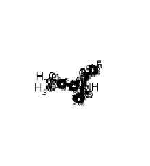 COP(=O)(OC)c1ccc(-c2ccc([C@@H]3[C@H](CCC(=O)c4ccc(F)cc4)NC(=O)N3c3ccccc3)c(O)c2)cc1